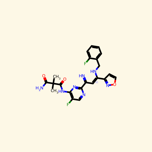 CC(C)(C(N)=O)C(=O)Nc1nc(C(=N)/C=C(\NCc2ccccc2F)c2ccon2)ncc1F